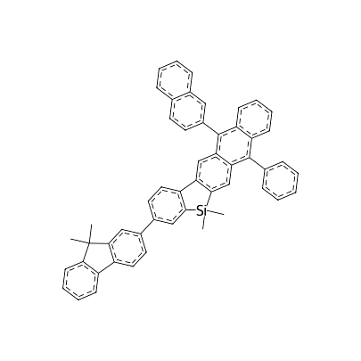 CC1(C)c2ccccc2-c2ccc(-c3ccc4c(c3)[Si](C)(C)c3cc5c(-c6ccccc6)c6ccccc6c(-c6ccc7ccccc7c6)c5cc3-4)cc21